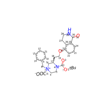 CC(C)(C)OC(=O)N1CC[N+](Cc2ccccc2)(C(=O)[O-])C[C@H]1CCOc1cccc2c1CCNC2=O